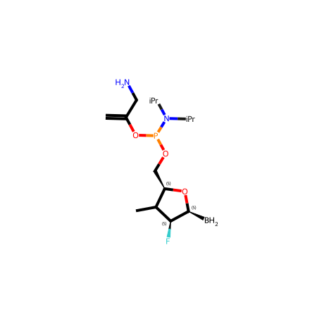 B[C@@H]1O[C@H](COP(OC(=C)CN)N(C(C)C)C(C)C)C(C)[C@@H]1F